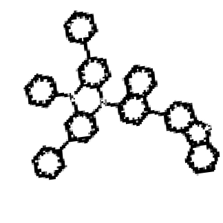 c1ccc(-c2ccc3c(c2)N(c2ccccc2)c2cc(-c4ccccc4)ccc2N3c2ccc(-c3ccc4sc5ccccc5c4c3)c3ccccc23)cc1